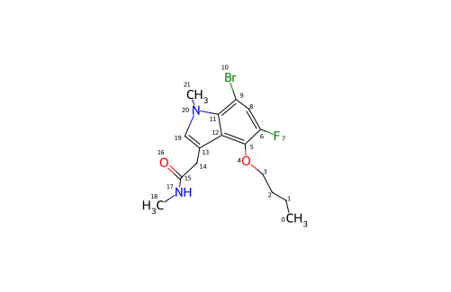 CCCCOc1c(F)cc(Br)c2c1c(CC(=O)NC)cn2C